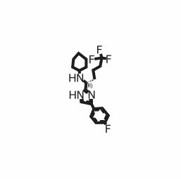 Fc1ccc(-c2c[nH]c([C@@H](CCCC(F)(F)F)NC3CCCCC3)n2)cc1